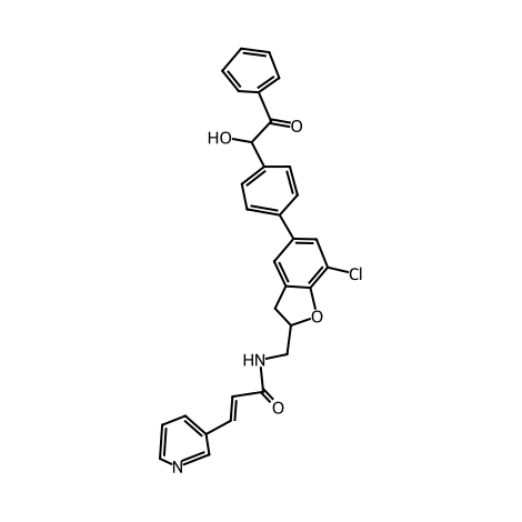 O=C(/C=C/c1cccnc1)NCC1Cc2cc(-c3ccc(C(O)C(=O)c4ccccc4)cc3)cc(Cl)c2O1